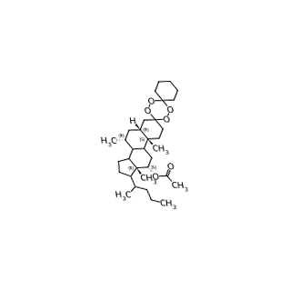 CCCC(C)C1CCC2C3C(C[C@H](OC(C)=O)[C@]12C)[C@@]1(C)CCC2(C[C@H]1C[C@H]3C)OOC1(CCCCC1)OO2